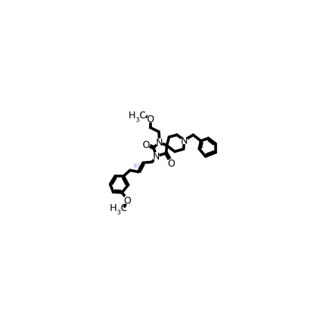 COCCN1C(=O)N(C/C=C/Cc2cccc(OC)c2)C(=O)C12CCN(Cc1ccccc1)CC2